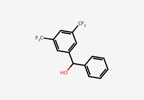 OC(c1ccccc1)c1cc(C(F)(F)F)cc(C(F)(F)F)c1